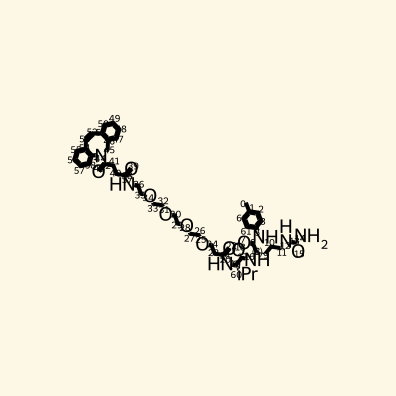 Cc1ccc(NC(=O)[C@H](CCCNC(N)=O)NC(=O)[C@@H](NC(=O)CCOCCOCCOCCOCCNC(=O)CCC(=O)N2Cc3ccccc3C#Cc3ccccc32)C(C)C)cc1